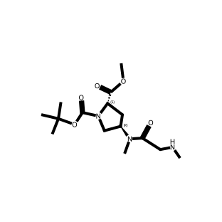 CNCC(=O)N(C)[C@@H]1C[C@@H](C(=O)OC)N(C(=O)OC(C)(C)C)C1